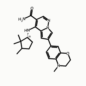 CC1CC[C@@H](Nc2c(C(N)=O)cnn3cc(-c4ccc5c(c4)OCCN5C)cc23)C1(C)C